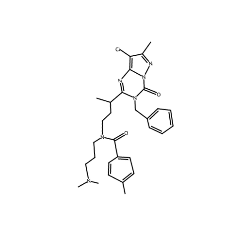 Cc1ccc(C(=O)N(CCCN(C)C)CCC(C)c2nc3c(Cl)c(C)nn3c(=O)n2Cc2ccccc2)cc1